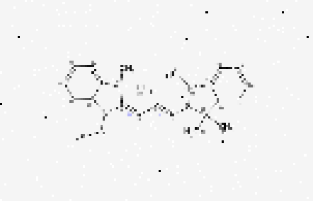 CCC[N+]1=C(/C=C/C=C2/N(CF)c3ccccc3C2(C)C)C(C)(C)c2ccccc21